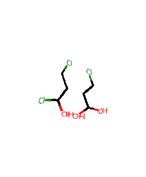 OC(Cl)CCCl.OC(O)CCCl